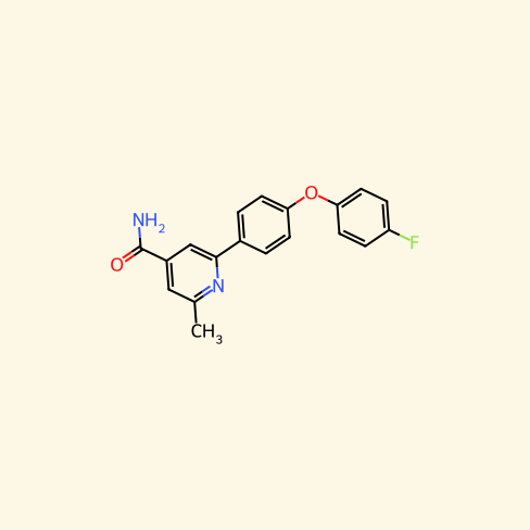 Cc1cc(C(N)=O)cc(-c2ccc(Oc3ccc(F)cc3)cc2)n1